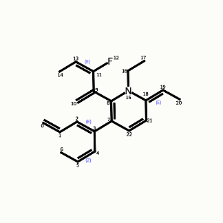 C=C/C=C(\C=C/C)C1=C(C(=C)/C(F)=C\C)N(CC)/C(=C/C)C=C1